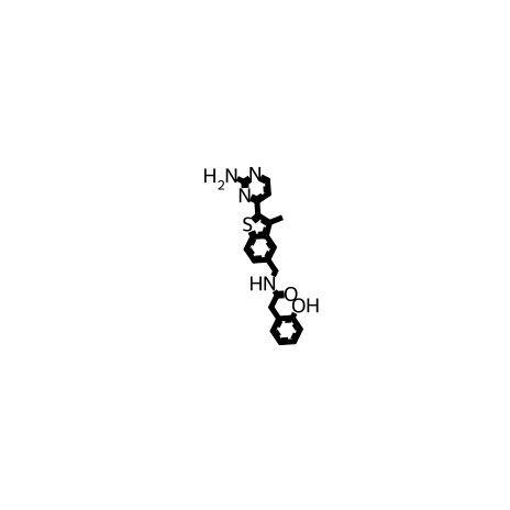 Cc1c(-c2ccnc(N)n2)sc2ccc(CNC(=O)Cc3ccccc3O)cc12